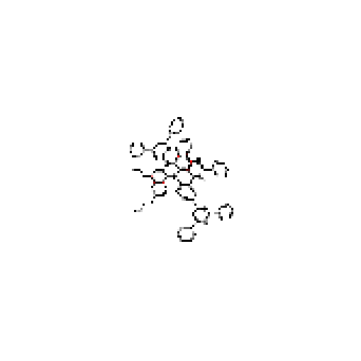 CCCCc1cc(CCCC)cc(-c2cc(-c3cc(-c4ccccc4)nc(-c4ccccc4)n3)cc(-c3nc(-c4ccccc4)nc(-c4ccccc4)n3)c2N2c3ccccc3N(c3nc(-c4ccccc4)cc(-c4ccccc4)n3)c3ccccc32)c1